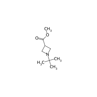 COC(=O)C1CN(C(C)(C)C)C1